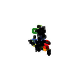 C=CPOc1c2c(c(N(C)SC)c3cccnc13)CN(Cc1ccc(F)c(Cl)c1)C2=O